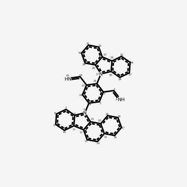 N=Cc1cc(-n2c3ccccc3c3ccc4ccccc4c32)cc(C=N)c1-n1c2ccccc2c2ccccc21